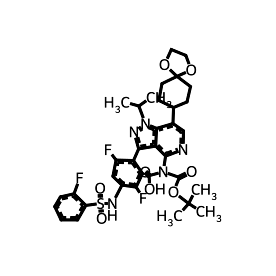 CC(C)n1nc(-c2cc(F)c(NS(=O)(=O)c3ccccc3F)cc2F)c2c(N(C(=O)O)C(=O)OC(C)(C)C)ncc(C3CCC4(CC3)OCCO4)c21